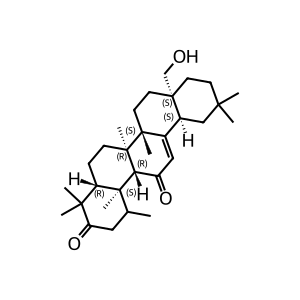 CC1CC(=O)C(C)(C)[C@@H]2CC[C@]3(C)[C@H](C(=O)C=C4[C@@H]5CC(C)(C)CC[C@]5(CO)CC[C@]43C)[C@@]12C